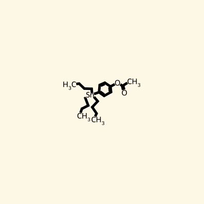 CCC[CH2][Sn]([CH2]CCC)([CH2]CCC)[c]1ccc(OC(C)=O)cc1